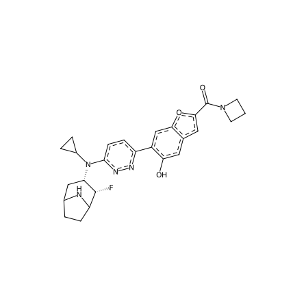 O=C(c1cc2cc(O)c(-c3ccc(N(C4CC4)[C@H]4CC5CCC(N5)[C@H]4F)nn3)cc2o1)N1CCC1